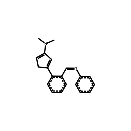 CN(C)C1=CCC(c2ccccc2/C=N\c2ccccc2)=C1